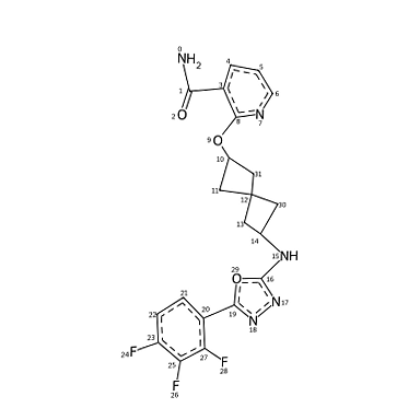 NC(=O)c1cccnc1OC1CC2(CC(Nc3nnc(-c4ccc(F)c(F)c4F)o3)C2)C1